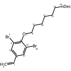 C=Cc1cc(Br)c(OCCCCCCCCCCCCCCCC)c(Br)c1